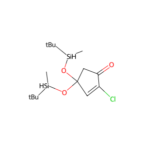 C[SiH](OC1(O[SiH](C)C(C)(C)C)C=C(Cl)C(=O)C1)C(C)(C)C